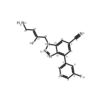 N#Cc1cc(-c2cncc(F)c2)c2nnn(C/C(F)=C/CN)c2c1